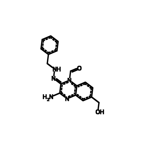 Nc1nc2cc(CO)ccc2n(C=O)/c1=N\NCc1ccccc1